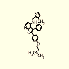 Cc1ccsc1CNc1ccnc2oc(-c3ccc(OCCN(C)C)cc3)c(-c3ccccc3)c12